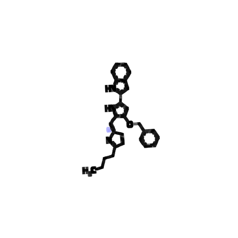 CCCCC1=N/C(=C/c2[nH]c(-c3cc4ccccc4[nH]3)cc2OCc2ccccc2)C=C1